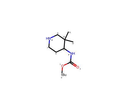 CC(C)(C)OC(=O)NC1CCNCC1(C)C